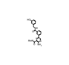 CNC(=O)c1nc(-c2cccc(C(=O)NCc3cccc(O)c3)c2)cnc1N